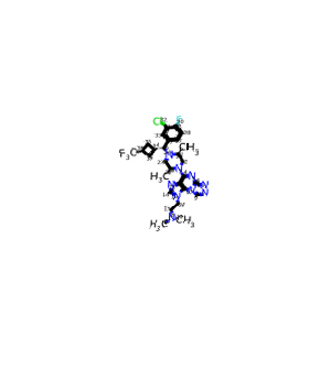 C[C@@H]1CN(c2nc3nncn3c3c2ncn3CCN(C)C)[C@@H](C)CN1C(c1ccc(F)c(Cl)c1)[C@H]1C[C@H](C(F)(F)F)C1